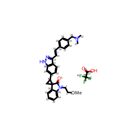 COCCN1C(=O)C2(CC2c2ccc3c(/C=C/c4ccc(CN(C)C)cc4)n[nH]c3c2)c2ccccc21.O=C(O)C(F)(F)F